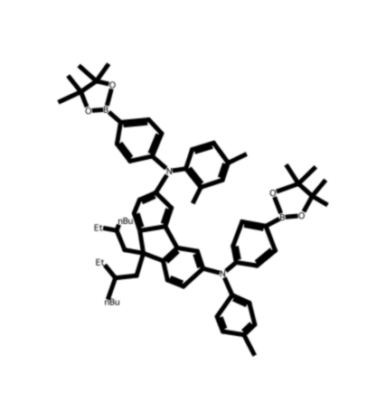 CCCCC(CC)CC1(CC(CC)CCCC)c2ccc(N(c3ccc(C)cc3)c3ccc(B4OC(C)(C)C(C)(C)O4)cc3)cc2-c2cc(N(c3ccc(B4OC(C)(C)C(C)(C)O4)cc3)c3ccc(C)cc3C)ccc21